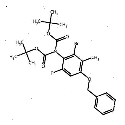 Cc1c(OCc2ccccc2)cc(F)c(N(C(=O)OC(C)(C)C)C(=O)OC(C)(C)C)c1Br